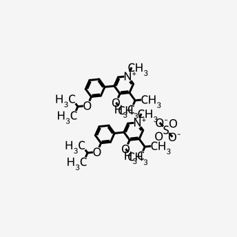 COc1c(-c2cccc(OC(C)C)c2)c[n+](C)cc1C(C)C.COc1c(-c2cccc(OC(C)C)c2)c[n+](C)cc1C(C)C.O=S(=O)([O-])[O-]